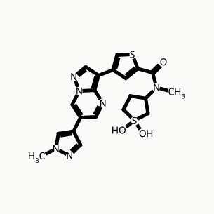 CN(C(=O)c1cc(-c2cnn3cc(-c4cnn(C)c4)cnc23)cs1)C1CCS(O)(O)C1